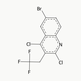 FC(F)(F)Cc1c(Cl)nc2ccc(Br)cc2c1Cl